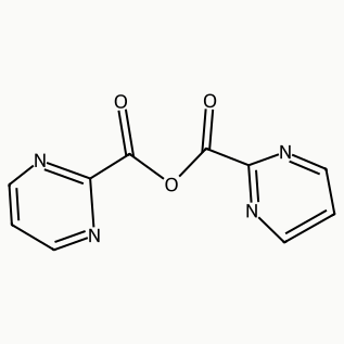 O=C(OC(=O)c1ncccn1)c1ncccn1